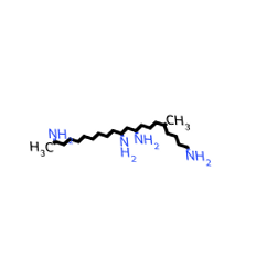 CC(N)CCCCCCCCC(N)CC(N)CCCC(C)CCCCN